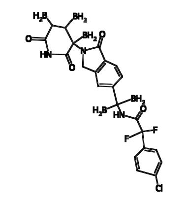 BC1C(=O)NC(=O)C(B)(N2Cc3cc(C(B)(B)NC(=O)C(F)(F)c4ccc(Cl)cc4)ccc3C2=O)C1B